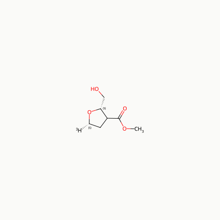 [3H][C@H]1CC(C(=O)OC)[C@@H](CO)O1